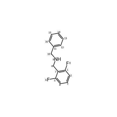 Fc1cccc(F)c1CN[CH]c1ccccc1